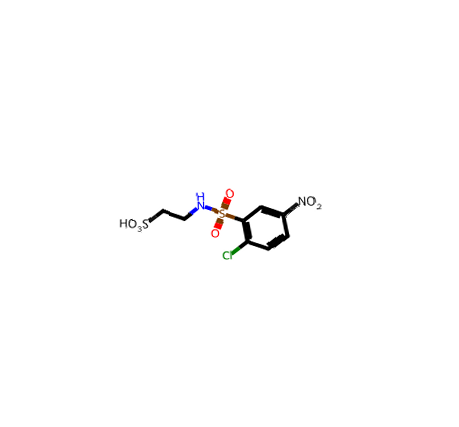 O=[N+]([O-])c1ccc(Cl)c(S(=O)(=O)NCCS(=O)(=O)O)c1